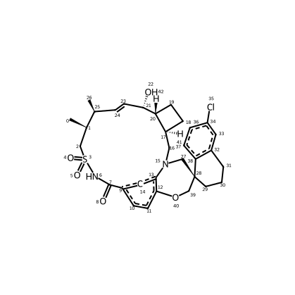 C[C@@H]1CS(=O)(=O)NC(=O)c2ccc3c(c2)N(C[C@@H]2CC[C@H]2[C@@H](O)/C=C/[C@@H]1C)C[C@@]1(CCCc2cc(Cl)ccc21)CO3